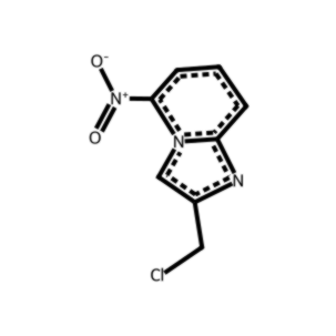 O=[N+]([O-])c1cccc2nc(CCl)cn12